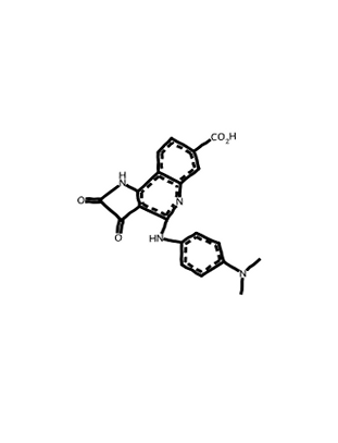 CN(C)c1ccc(Nc2nc3cc(C(=O)O)ccc3c3c2C(=O)C(=O)N3)cc1